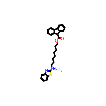 NN(CCCCCCCCOC(=O)C1c2ccccc2-c2ccccc21)c1nc2ccccc2s1